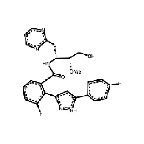 CO[C@@H](CO)[C@@H](Cc1ncccn1)NC(=O)c1cccc(F)c1-c1cc(-c2ccc(F)cc2)[nH]n1